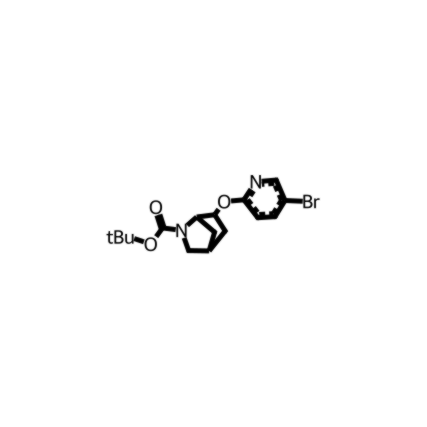 CC(C)(C)OC(=O)N1CC2CC(Oc3ccc(Br)cn3)C1C2